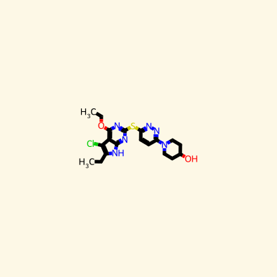 CCOc1nc(Sc2ccc(N3CCC(O)CC3)nn2)nc2[nH]c(CC)c(Cl)c12